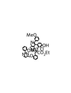 CCOC(=O)[C@@H](Cc1ccccc1OCc1ccnc(-c2ccccc2OC)n1)Oc1nsc2cnc(-c3cccc(OC)c3)c(-c3ccc(O)c(Cl)c3C)c12